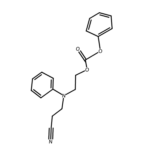 N#CCCN(CCOC(=O)Oc1ccccc1)c1ccccc1